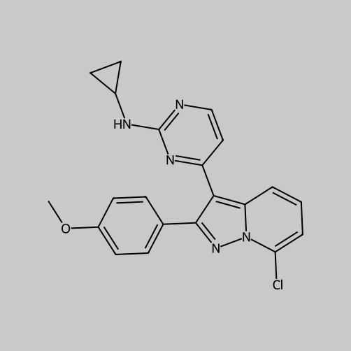 COc1ccc(-c2nn3c(Cl)cccc3c2-c2ccnc(NC3CC3)n2)cc1